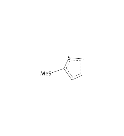 CSc1cccs1